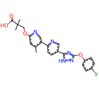 Cc1cc(OCC(C)(C)C(=O)O)ncc1-c1ccc(-c2nc(Oc3ccc(F)cc3)n[nH]2)cn1